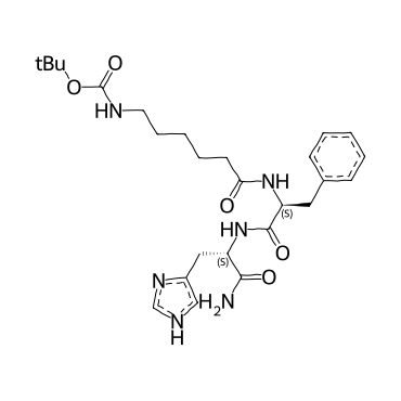 CC(C)(C)OC(=O)NCCCCCC(=O)N[C@@H](Cc1ccccc1)C(=O)N[C@@H](Cc1c[nH]cn1)C(N)=O